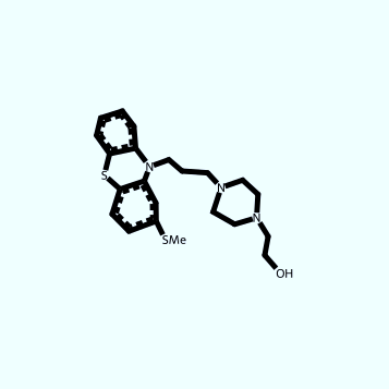 CSc1ccc2c(c1)N(CCCN1CCN(CCO)CC1)c1ccccc1S2